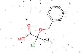 CC(Cl)(OCc1ccccc1)C(=O)O